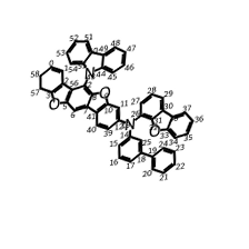 C1=Cc2c(oc3cc4c(oc5cc(N(c6cccc(-c7ccccc7)c6)c6cccc7c6oc6ccccc67)ccc54)c(-n4c5ccccc5c5ccccc54)c23)CC1